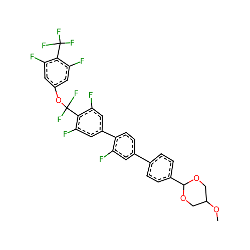 COC1COC(c2ccc(-c3ccc(-c4cc(F)c(C(F)(F)Oc5cc(F)c(C(F)(F)F)c(F)c5)c(F)c4)c(F)c3)cc2)OC1